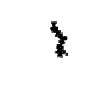 CN(c1ccc(C2CN(C(=O)N3CC4(CC(n5cnc(C6CC6)n5)C4)C3)C2)nc1)C1(C(F)(F)F)CC1